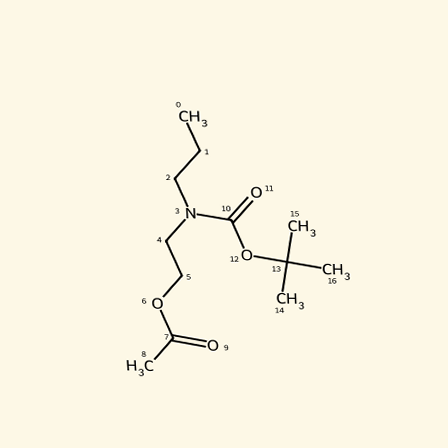 CCCN(CCOC(C)=O)C(=O)OC(C)(C)C